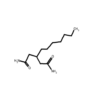 CCCCCCCC(CC(N)=O)CC(N)=O